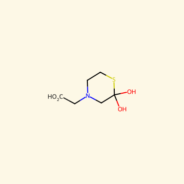 O=C(O)CN1CCSC(O)(O)C1